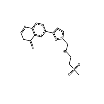 CS(=O)(=O)CCNCc1ccc(-c2ccc3c(c2)C(=O)CC=N3)o1